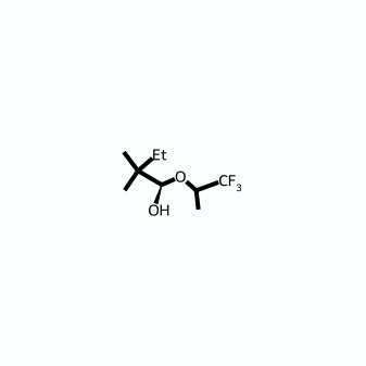 CCC(C)(C)[C@H](O)OC(C)C(F)(F)F